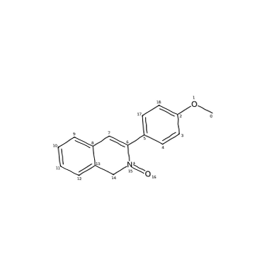 COc1ccc(C2=Cc3ccccc3C[N+]2=O)cc1